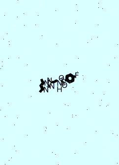 Cc1cc(C)n2nc(CNS(=O)(=O)c3ccc(F)cc3)nc2n1